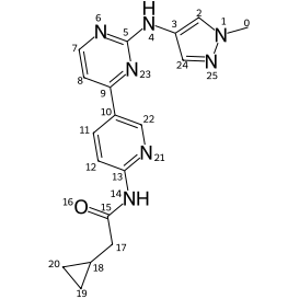 Cn1cc(Nc2nccc(-c3ccc(NC(=O)CC4CC4)nc3)n2)cn1